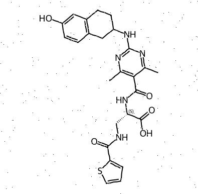 Cc1nc(NC2CCc3cc(O)ccc3C2)nc(C)c1C(=O)N[C@@H](CNC(=O)c1cccs1)C(=O)O